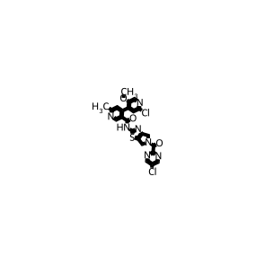 COc1cnc(Cl)cc1-c1cc(C)ncc1C(=O)Nc1nc2c(s1)CN(C(=O)c1ncc(Cl)cn1)C2